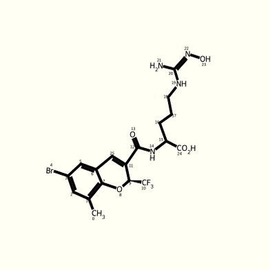 Cc1cc(Br)cc2c1O[C@H](C(F)(F)F)C(C(=O)NC(CCCN/C(N)=N\O)C(=O)O)=C2